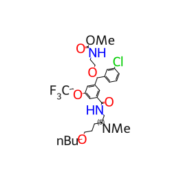 CCCCOCCC[C@@H](CNC(=O)c1cc(OCC(F)(F)F)cc(C(OCCNC(=O)OC)c2cccc(Cl)c2)c1)NC